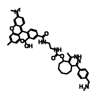 CC1=C2C(OC(=O)NCCNC(=O)c3ccc(-c4c5ccc(=[N+](C)C)cc-5oc5cc(C)ccc45)c(C(=O)O)c3)CCCCCC2C(c2ccc(CN)cc2)=NN1